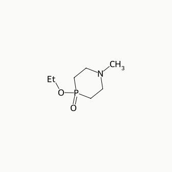 CCOP1(=O)CCN(C)CC1